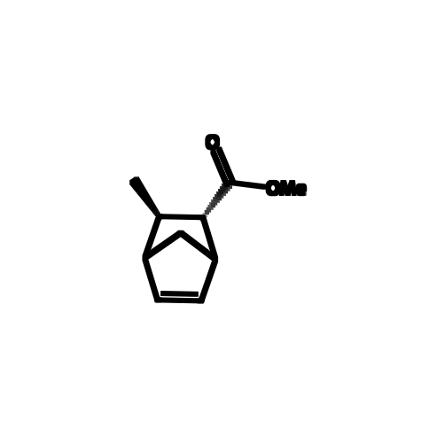 COC(=O)[C@@H]1C2C=CC(C2)[C@H]1C